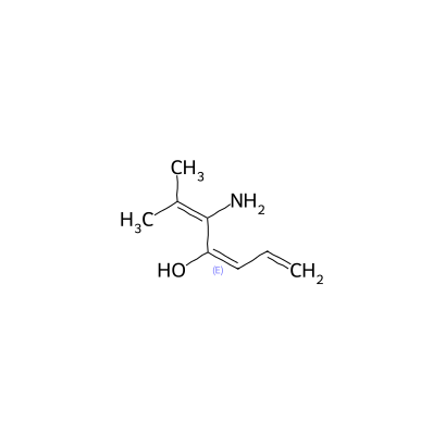 C=C/C=C(/O)C(N)=C(C)C